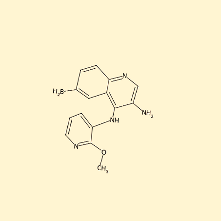 Bc1ccc2ncc(N)c(Nc3cccnc3OC)c2c1